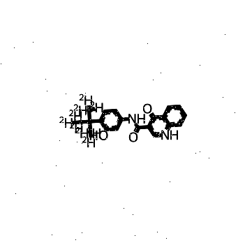 [2H]C([2H])([2H])C(c1ccc(NC(=O)c2c[nH]c3ccccc3c2=O)cc1O)(C([2H])([2H])[2H])C([2H])([2H])[2H]